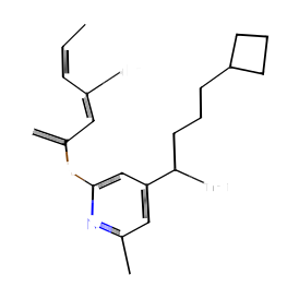 C=C(/C=C(\C=C/C)C(C)C)Sc1cc(C(CCC)CCCC2CCC2)cc(C)n1